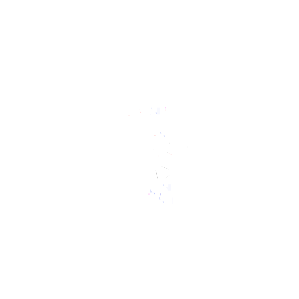 CPNC(=N)Nc1ccc(OC(=O)C(C)(C)NC(=O)CCC(NP)C(=O)OP)cc1